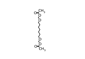 CC(=O)OCOCCCCCCCOCOC(C)=O